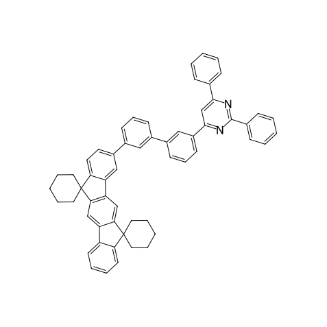 c1ccc(-c2cc(-c3cccc(-c4cccc(-c5ccc6c(c5)-c5cc7c(cc5C65CCCCC5)-c5ccccc5C75CCCCC5)c4)c3)nc(-c3ccccc3)n2)cc1